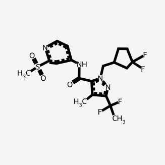 Cc1c(C(C)(F)F)nn(CC2CCC(F)(F)C2)c1C(=O)Nc1ccnc(S(C)(=O)=O)c1